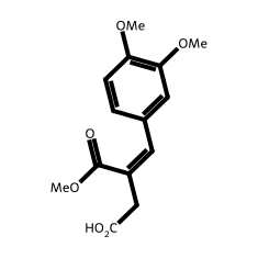 COC(=O)C(=Cc1ccc(OC)c(OC)c1)CC(=O)O